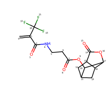 C=C(C(=O)NCCC(=O)OC1C2CC3C(=O)OC1C3C2)C(F)(F)F